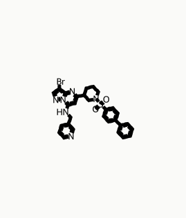 O=S(=O)(c1ccc(-c2ccccc2)cc1)N1CCCC(c2cc(NCc3cccnc3)n3ncc(Br)c3n2)C1